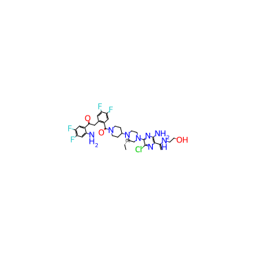 C=C(NCCO)c1nc(Cl)c(N2CCN(C3CCN(C(=O)c4cc(F)c(F)cc4CC(=O)c4cc(F)c(F)cc4N)CC3)[C@@H](CC)C2)nc1N